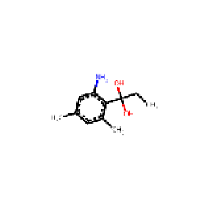 CCC(O)(O)c1c(C)cc(C)cc1N